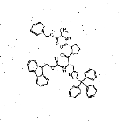 C[C@@H](NC(=O)[C@@H]1CCCN1C(=O)[C@H](Cc1cn(C(c2ccccc2)(c2ccccc2)c2ccccc2)cn1)NC(=O)OCC1c2ccccc2-c2ccccc21)C(=O)OCc1ccccc1